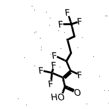 O=C(O)C(=C(F)C(F)CCCC(F)(F)F)C(F)(F)F